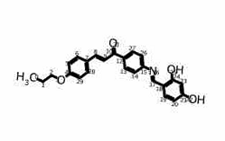 CCCOc1ccc(C=CC(=O)c2ccc(N=Cc3ccc(O)cc3O)cc2)cc1